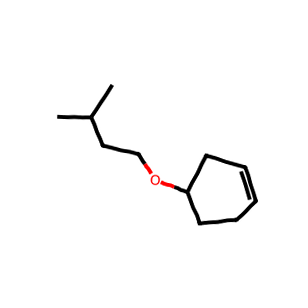 CC(C)CCOC1CC=CCC1